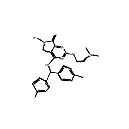 CC(C)N1Cc2c(NC(c3ccc(F)cc3)c3ccc(F)cc3)nc(NCCN(C)C)nc2C1=O